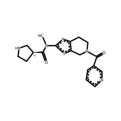 N#CN(C(=O)[C@H]1CCNC1)c1nc2c(s1)CN(C(=O)c1cccnc1)CC2